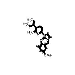 C=C/C(=C\C)c1ccc(-n2ccn(Cc3cc(F)cc(OC)c3)c2=O)nc1C